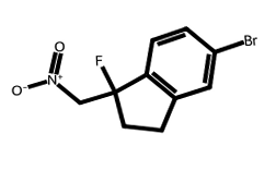 O=[N+]([O-])CC1(F)CCc2cc(Br)ccc21